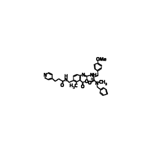 COc1ccc(C[C@H](Nc2nc3ccc(CNC(=O)CCc4ccncc4)c(C)c3c(=O)o2)C(=O)N(C)Cc2ccccc2)cc1